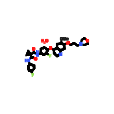 COc1cc2c(Oc3ccc(NC(=O)C4(C(=O)Nc5ccc(F)cc5)CC4)cc3F)ccnc2cc1OCCCN1CCOCC1.O